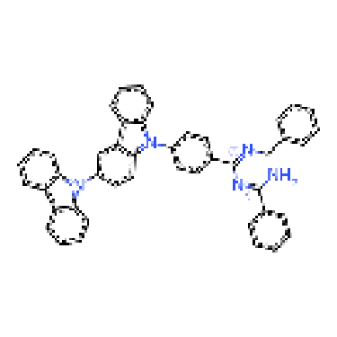 N/C(=N\C(=N/Cc1ccccc1)c1ccc(-n2c3ccccc3c3cc(-n4c5ccccc5c5ccccc54)ccc32)cc1)c1ccccc1